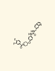 O=C(NCc1ccn2ccnc2c1)Nc1ccc(OC2CCN(C(=O)c3ccc(F)c(F)c3)CC2)cc1